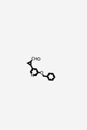 O=CC1CC1c1cncc(OCc2ccccc2)c1